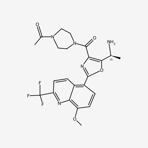 COc1ccc(-c2nc(C(=O)N3CCN(C(C)=O)CC3)c([C@H](C)N)o2)c2ccc(C(F)(F)F)nc12